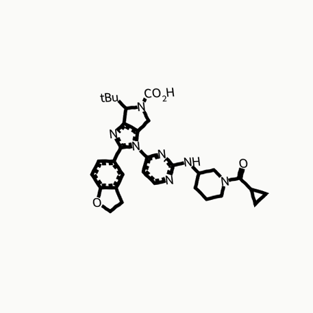 CC(C)(C)C1c2nc(-c3ccc4c(c3)CCO4)n(-c3ccnc(NC4CCCN(C(=O)C5CC5)C4)n3)c2CN1C(=O)O